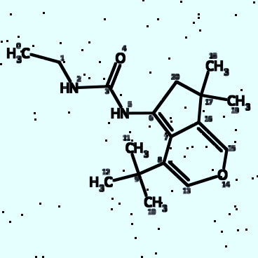 CCNC(=O)NC1=C2C(C(C)(C)C)=COC=C2C(C)(C)C1